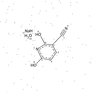 N#Cc1ccc(O)nc1O.O.[NaH]